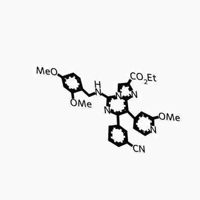 CCOC(=O)c1cn2c(NCc3ccc(OC)cc3OC)nc(-c3cccc(C#N)c3)c(-c3ccnc(OC)c3)c2n1